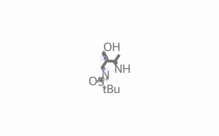 CC(=N)C(=C\O)/C=N/[S@@+]([O-])C(C)(C)C